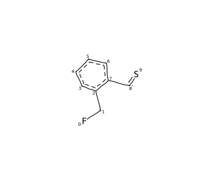 FCc1ccccc1[C]=S